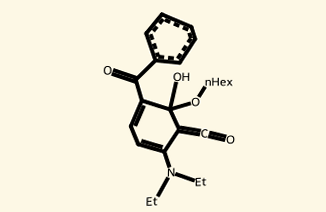 CCCCCCOC1(O)C(=C=O)C(N(CC)CC)=CC=C1C(=O)c1ccccc1